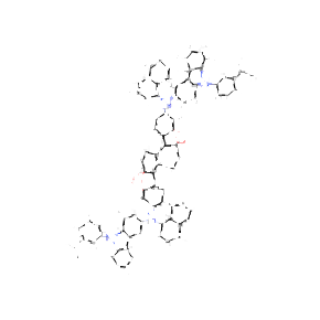 CC(C)c1cccc(-n2c3ccccc3c3cc(N(c4ccc5c(c4)oc4ccc6c(ccc7oc8cc(N(c9ccc%10c(c9)c9ccccc9n%10-c9cccc(C(C)C)c9)c9cccc%10ccccc9%10)ccc8c76)c45)c4cccc5ccccc45)ccc32)c1